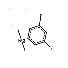 Fc1[c]ccc(F)c1.[I][Mg][I]